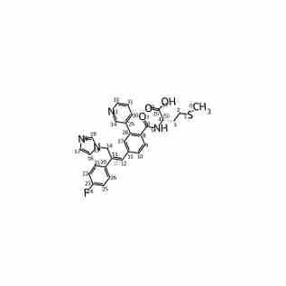 CSCC[C@H](NC(=O)c1ccc(/C=C(\Cn2ccnc2)c2ccc(F)cc2)cc1-c1cccnc1)C(=O)O